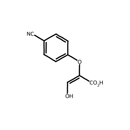 N#Cc1ccc(OC(=CO)C(=O)O)cc1